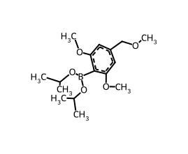 COCc1cc(OC)c(B(OC(C)C)OC(C)C)c(OC)c1